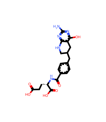 Nc1nc(O)c2c(n1)NCC(Cc1ccc(C(=O)N[C@@H](CCC(=O)O)C(=O)O)cc1)C2